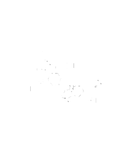 COc1cc(-c2cnc3cc(C(C)C#N)ccn23)cc(OC(F)F)c1C(=O)NC1CC1